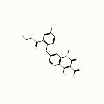 CCNC(=O)c1cc(F)ccc1Cc1cnc2c(O)c(C(=O)O)c(=O)n(C)c2c1